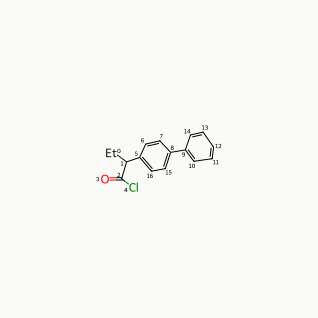 CCC(C(=O)Cl)c1ccc(-c2ccccc2)cc1